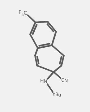 CCCCNC1(C#N)C=Cc2ccc(C(F)(F)F)cc2C=C1